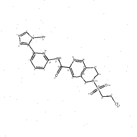 CC(C)n1cnnc1-c1cccc(NC(=O)c2cc3c(cn2)CCN(S(=O)(=O)CCC(F)(F)F)C3)n1